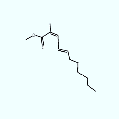 CCCCCCC=CC=C(C)C(=O)OC